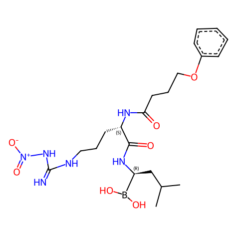 CC(C)C[C@H](NC(=O)[C@H](CCCNC(=N)N[N+](=O)[O-])NC(=O)CCCOc1ccccc1)B(O)O